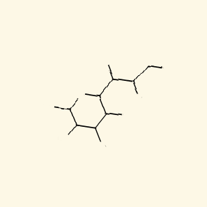 CC1C(C(=O)O)OC(C(O)C(O)CO)C(O)C1O